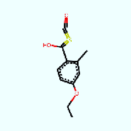 CCOc1ccc(C(O)=S=C=O)c(C)c1